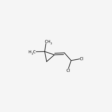 CC1(C)CC1=CC(Cl)Cl